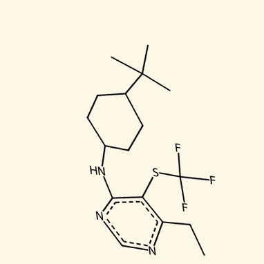 CCc1ncnc(NC2CCC(C(C)(C)C)CC2)c1SC(F)(F)F